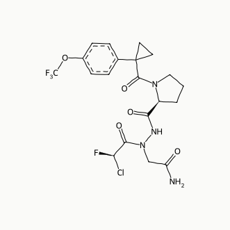 NC(=O)CN(NC(=O)[C@@H]1CCCN1C(=O)C1(c2ccc(OC(F)(F)F)cc2)CC1)C(=O)[C@H](F)Cl